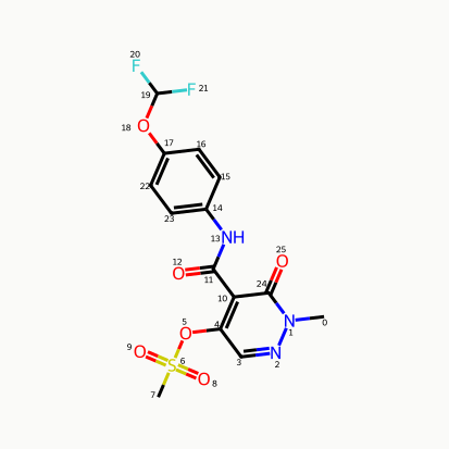 Cn1ncc(OS(C)(=O)=O)c(C(=O)Nc2ccc(OC(F)F)cc2)c1=O